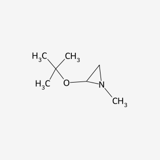 CN1CC1OC(C)(C)C